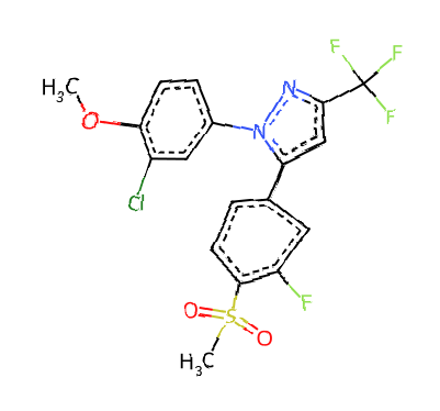 COc1ccc(-n2nc(C(F)(F)F)cc2-c2ccc(S(C)(=O)=O)c(F)c2)cc1Cl